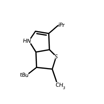 CC(C)C1=CNC2C1SC(C)C2C(C)(C)C